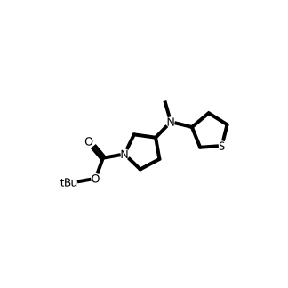 CN(C1CCSC1)C1CCN(C(=O)OC(C)(C)C)C1